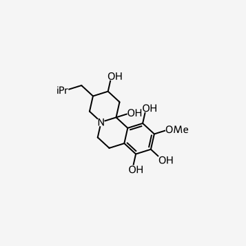 COc1c(O)c(O)c2c(c1O)C1(O)CC(O)C(CC(C)C)CN1CC2